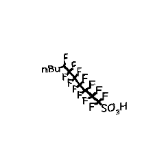 CCCCC(F)C(F)(F)C(F)(F)C(F)(F)C(F)(F)C(F)(F)C(F)(F)S(=O)(=O)O